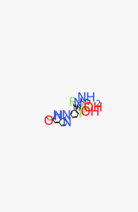 COc1cnc2c(Nc3ccc(F)c([C@@]4(CF)CS(O)(O)C5(CCC5)C(N)=N4)c3)nccc2c1